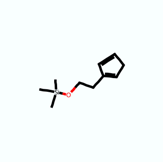 C[Si](C)(C)OCCC1=CCC=C1